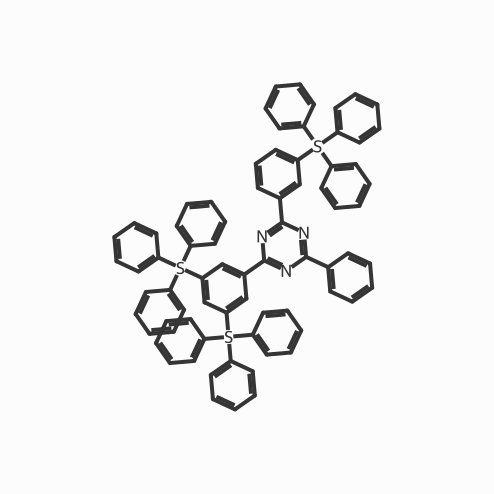 c1ccc(-c2nc(-c3cccc(S(c4ccccc4)(c4ccccc4)c4ccccc4)c3)nc(-c3cc(S(c4ccccc4)(c4ccccc4)c4ccccc4)cc(S(c4ccccc4)(c4ccccc4)c4ccccc4)c3)n2)cc1